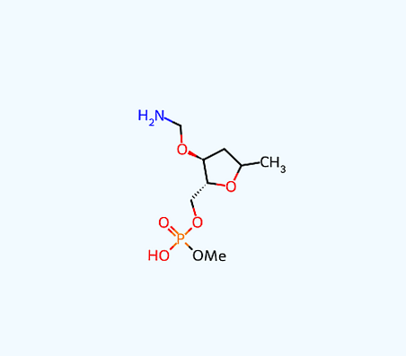 COP(=O)(O)OC[C@H]1OC(C)C[C@@H]1OCN